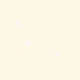 CN1CC(CNC(=O)c2ccc3c(c2)CCN(C2CCC2)CC3)CC1=O